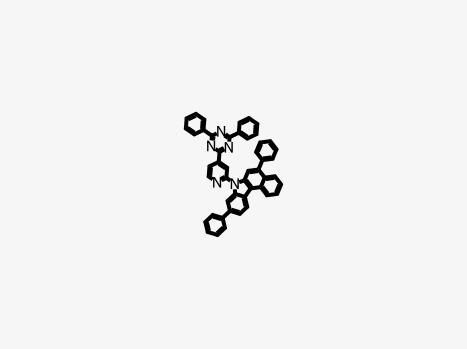 c1ccc(-c2ccc3c4c5ccccc5c(-c5ccccc5)cc4n(-c4cc(-c5nc(-c6ccccc6)nc(-c6ccccc6)n5)ccn4)c3c2)cc1